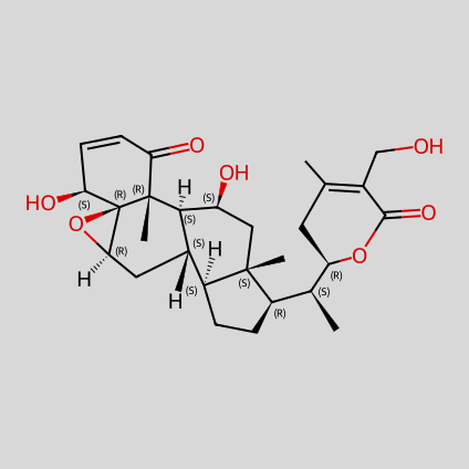 CC1=C(CO)C(=O)O[C@@H]([C@@H](C)[C@H]2CC[C@H]3[C@@H]4C[C@H]5O[C@]56[C@@H](O)C=CC(=O)[C@]6(C)[C@H]4[C@@H](O)C[C@]23C)C1